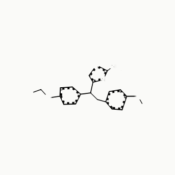 CCOc1ccc(C(Cc2ccc(OC)cc2)c2csc(N)n2)cc1